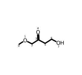 COCC(=O)CCO